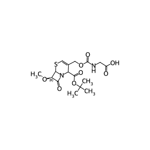 CO[C@@H]1C(=O)N2C(C(=O)OC(C)(C)C)C(COC(=O)NCC(=O)O)=CSC12